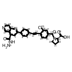 NNC(=O)c1cc(-c2ccc(C#Cc3ccc(C(=O)N4CCC[C@@H]4C(=O)O)cc3Cl)cc2)nc2ccncc12